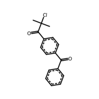 CC(C)(Cl)C(=O)c1ccc(C(=O)c2ccccc2)cc1